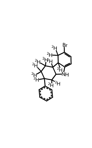 [2H]C1([2H])C(Br)=CC=C2NC3C([2H])([2H])C([2H])(c4ccccc4)C([2H])([2H])C([2H])([2H])C3([2H])C21[2H]